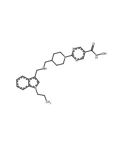 CCCn1cc(CNCC2CCN(c3ncc(C(=O)NO)cn3)CC2)c2ccccc21